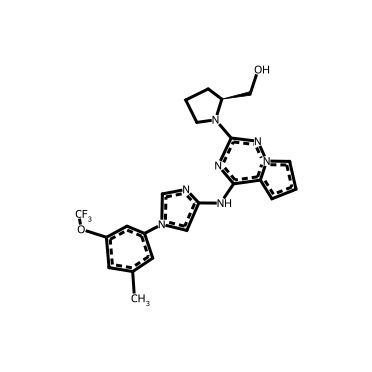 Cc1cc(OC(F)(F)F)cc(-n2cnc(Nc3nc(N4CCC[C@H]4CO)nn4cccc34)c2)c1